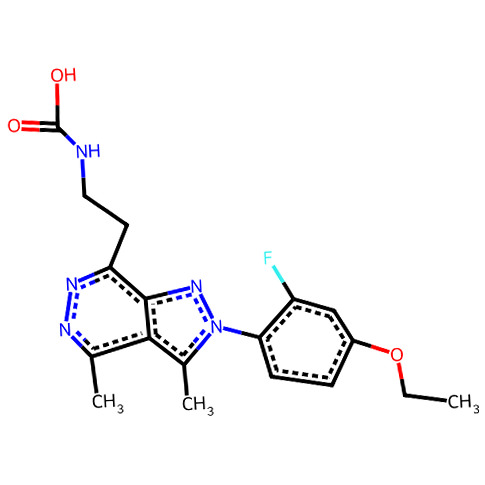 CCOc1ccc(-n2nc3c(CCNC(=O)O)nnc(C)c3c2C)c(F)c1